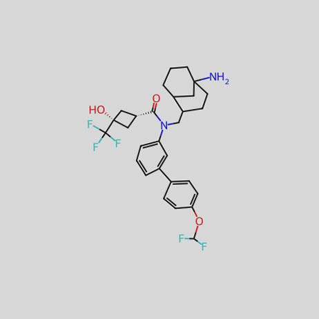 NC12CCCC(C1)C(CN(c1cccc(-c3ccc(OC(F)F)cc3)c1)C(=O)[C@H]1C[C@](O)(C(F)(F)F)C1)CC2